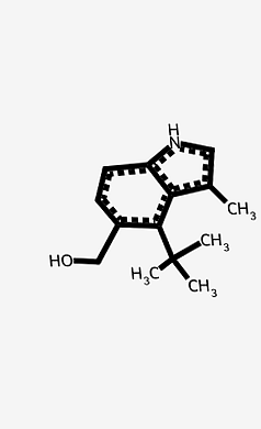 Cc1c[nH]c2ccc(CO)c(C(C)(C)C)c12